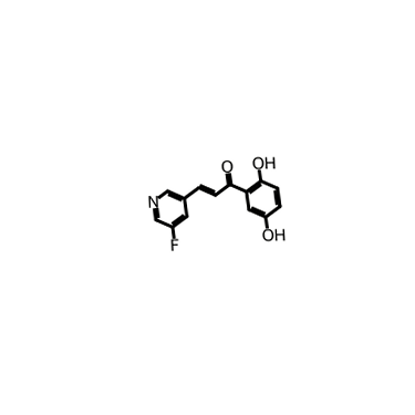 O=C(C=Cc1cncc(F)c1)c1cc(O)ccc1O